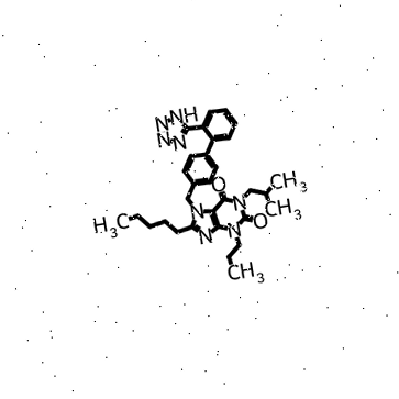 CCCCCc1nc2c(c(=O)n(CC(C)C)c(=O)n2CCC)n1Cc1ccc(-c2ccccc2-c2nnn[nH]2)cc1